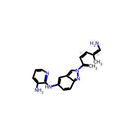 C=C(/C=C\C(C)=C/N)n1cc2cc(Nc3ncccc3N)ccc2n1